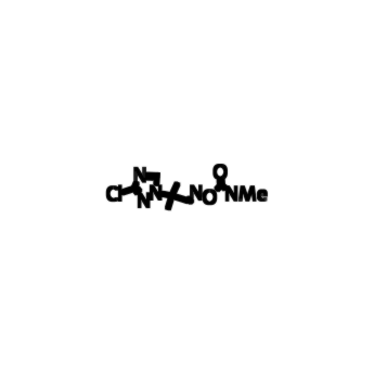 CNC(=O)ON=CC(C)(C)n1cnc(Cl)n1